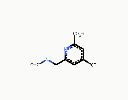 CCOC(=O)c1cc(C(F)(F)F)cc(CNC=O)n1